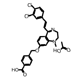 CC(=O)O.CN1CCN=C(/C=C/c2ccc(Cl)c(Cl)c2)c2ccc(OCc3ccc(C(=O)O)cc3)cc21